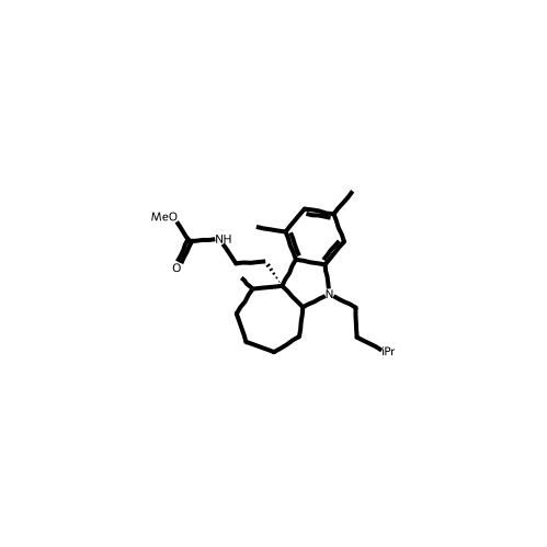 COC(=O)NCC[C@]12c3c(C)cc(C)cc3N(CCC(C)C)C1CCCCC2C